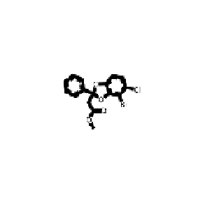 COC(=O)CC1(c2ccccc2)Oc2ccc(Cl)c(Br)c2O1